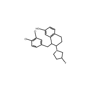 Oc1ccc2c(c1)C(Cc1ccc(Cl)c(Cl)c1)C(N1CCC(F)C1)CC2